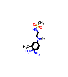 CCN(CCNS(C)(=O)=O)C1C=CC(N)(N)C(C)=C1